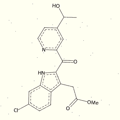 COC(=O)Cc1c(C(=O)c2cc(C(C)O)ccn2)[nH]c2cc(Cl)ccc12